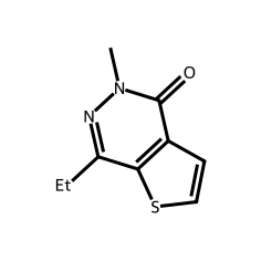 CCc1nn(C)c(=O)c2ccsc12